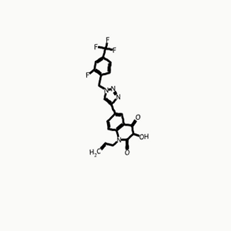 C=CCN1C(=O)C(O)C(=O)c2cc(-c3cn(Cc4ccc(C(F)(F)F)cc4F)nn3)ccc21